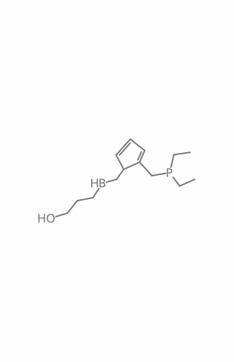 CCP(CC)CC1=CC=CC1CBCCCO